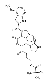 COc1cccc2[nH]c(C(=O)N3CC4CCCC4C3C(=O)NC(CC3CCNC3=O)C(=O)COCOC(=O)C(C)(C)C)cc12